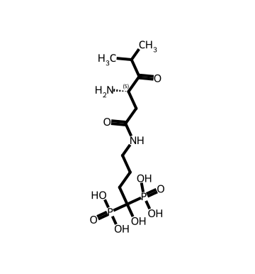 CC(C)C(=O)[C@@H](N)CC(=O)NCCCC(O)(P(=O)(O)O)P(=O)(O)O